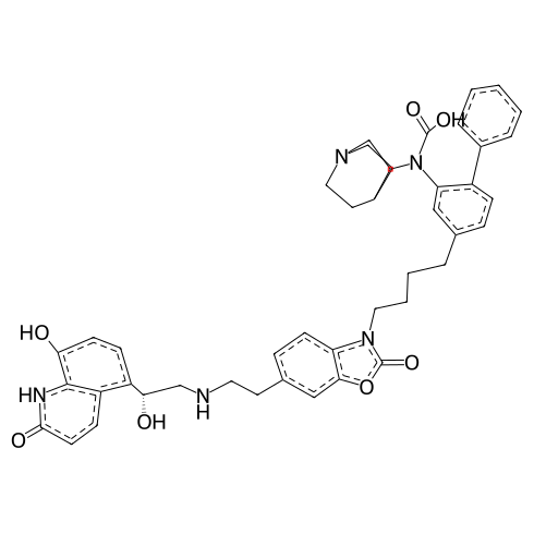 O=C(O)N(c1cc(CCCCn2c(=O)oc3cc(CCNC[C@H](O)c4ccc(O)c5[nH]c(=O)ccc45)ccc32)ccc1-c1ccccc1)C1CN2CCC1CC2